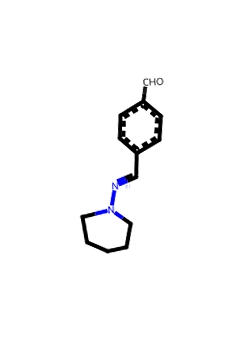 O=Cc1ccc(/C=N/N2CCCCC2)cc1